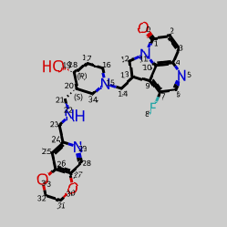 O=c1ccc2ncc(F)c3c2n1CC3CN1CC[C@@H](O)[C@@H](CNCc2cc3c(cn2)OCCO3)C1